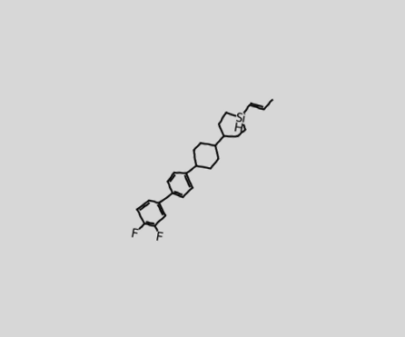 C/C=C/[SiH]1CCC(C2CCC(c3ccc(-c4ccc(F)c(F)c4)cc3)CC2)CC1